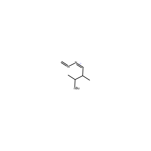 C=N/N=C\C(C)C(C)CCCC